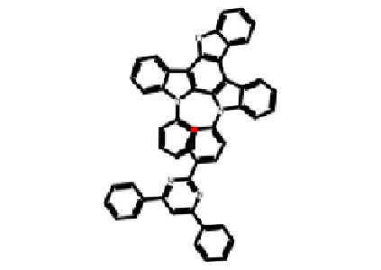 c1ccc(-c2cc(-c3ccccc3)nc(-c3ccc(-n4c5ccccc5c5c6c7ccccc7oc6c6c7ccccc7n(-c7ccccc7)c6c54)cc3)n2)cc1